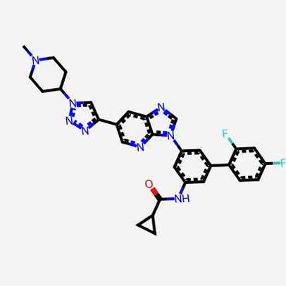 CN1CCC(n2cc(-c3cnc4c(c3)ncn4-c3cc(NC(=O)C4CC4)cc(-c4ccc(F)cc4F)c3)nn2)CC1